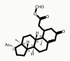 CC(=O)[C@H]1CC[C@H]2[C@@H]3CCC4=CC(=O)CC(CC(=O)OC=O)[C@]4(C)[C@H]3CC[C@]12C